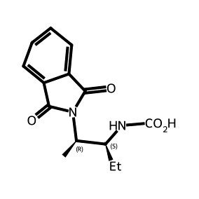 CC[C@H](NC(=O)O)[C@@H](C)N1C(=O)c2ccccc2C1=O